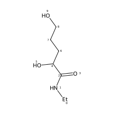 CCNC(=O)C(O)CCCO